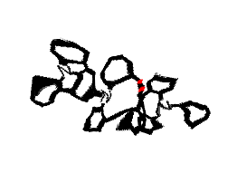 c1ccc(N2c3ccccc3C3(c4ccccc4-c4ccccc4N(c4cc5c6ccccc6n6c7ccccc7c(c4)c56)c4ccccc4-c4ccccc43)c3ccccc32)cc1